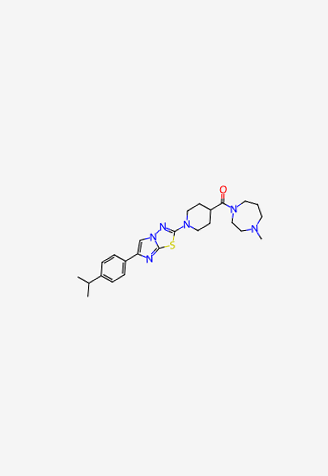 CC(C)c1ccc(-c2cn3nc(N4CCC(C(=O)N5CCCN(C)CC5)CC4)sc3n2)cc1